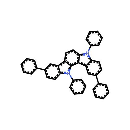 c1ccc(-c2ccc3c(c2)c2c(ccc4c5cc(-c6ccccc6)ccc5n(-c5ccccc5)c42)n3-c2ccccc2)cc1